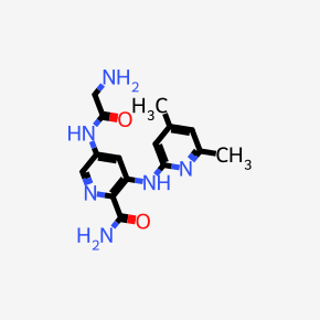 Cc1cc(C)nc(Nc2cc(NC(=O)CN)cnc2C(N)=O)c1